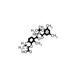 CC[C@@H](Oc1c(C)ccc(C(=O)NN(C(=O)c2cc(C)cc(C)c2)C(C)(C)C)c1C)C(=O)O